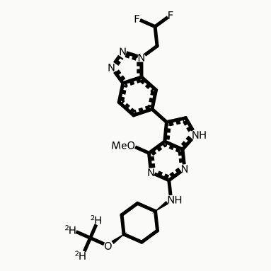 [2H]C([2H])([2H])O[C@H]1CC[C@@H](Nc2nc(OC)c3c(-c4ccc5nnn(CC(F)F)c5c4)c[nH]c3n2)CC1